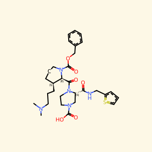 CN(C)CCC[C@H]1CCCN(C(=O)OCc2ccccc2)[C@H]1C(=O)N1CCN(C(=O)O)C[C@H]1C(=O)NCc1cccs1